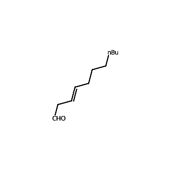 CCCCCCCC=CCC=O